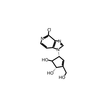 OCC1=C[C@@H](n2cnc3c(Cl)nccc32)C(O)[C@H]1O